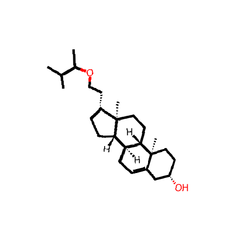 CC(C)C(C)OCC[C@H]1CC[C@H]2[C@@H]3CC=C4C[C@@H](O)CC[C@]4(C)[C@H]3CC[C@]12C